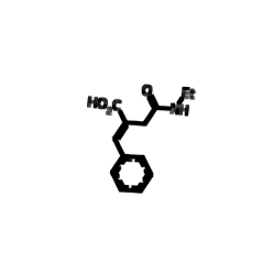 CCNC(=O)CC(=Cc1ccccc1)C(=O)O